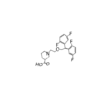 O=C(O)C1CCCN(CCOCC(c2cc(F)ccc2F)c2cc(F)ccc2F)C1